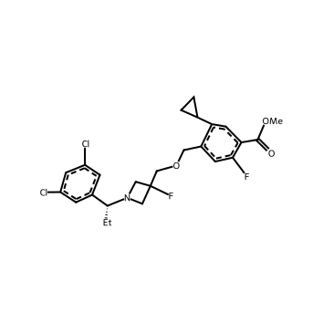 CC[C@H](c1cc(Cl)cc(Cl)c1)N1CC(F)(COCc2cc(F)c(C(=O)OC)cc2C2CC2)C1